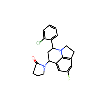 O=C1CCCN1C1CC(c2ccccc2Cl)N2CCc3cc(F)cc1c32